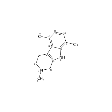 CN1CCc2c([nH]c3c(Cl)ccc(Cl)c23)C1